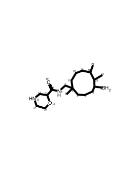 BC1CCCC(C)(CNC(=O)C2CNCCO2)CCCC(C)C1C